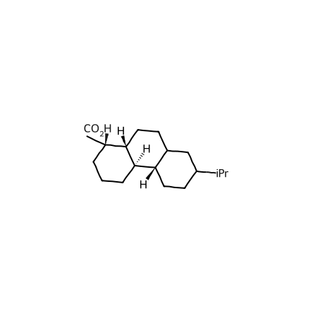 CC(C)C1CC[C@H]2C(CC[C@@H]3[C@@H]2CCC[C@@]3(C)C(=O)O)C1